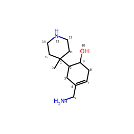 CC1(C2CC(CN)=CCC2O)CCNCC1